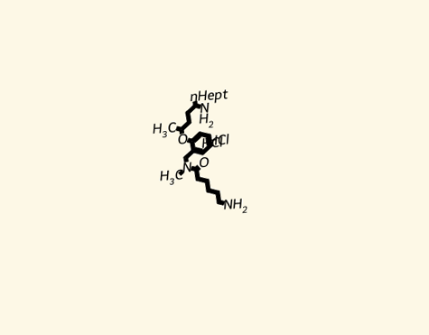 CCCCCCCC(N)CCC(C)Oc1ccccc1CN(C)C(=O)CCCCCN.Cl.Cl